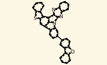 c1ccc2nc3c(nc2c1)c1c2c(cc4c5ccc(-c6ccc7oc8ccccc8c7c6)cc5n3c41)sc1ccccc12